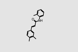 Cc1ccc(/C=C/C(=O)Nc2ccccc2C)cc1C